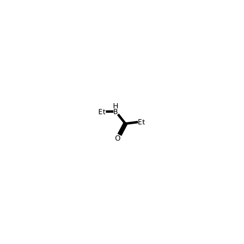 CCBC(=O)CC